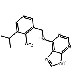 CC(C)c1cccc(CNc2ncnc3[nH]cnc23)c1N